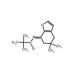 CC1(C)C/C(=N\[S+]([O-])C(C)(C)C)c2occc2C1